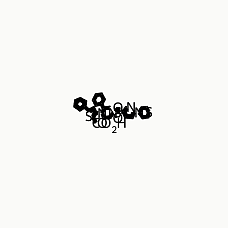 O=C(O)c1sc(-c2ccccc2)cc1N1C(=O)CN(S(=O)(=O)c2ccc(N3CCSCC3)nc2)CC1C1CCCCC1